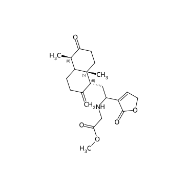 C=C1CCC2[C@@H](C)C(=O)CC[C@]2(C)[C@@H]1CC(NCC(=O)OC)C1=CCOC1=O